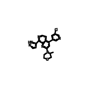 CC1COCCN1c1cc(-c2cncc(Cl)c2)c2ccnc(-c3ccn[nH]3)c2n1